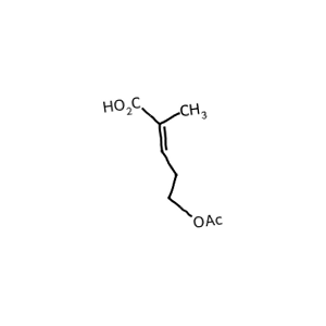 CC(=O)OCC/C=C(\C)C(=O)O